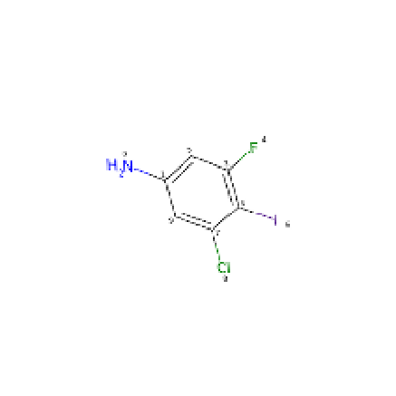 Nc1cc(F)c(I)c(Cl)c1